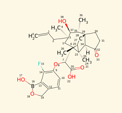 C=CC[C@]1(C)C[C@@H](C(Oc2ccc3c(c2F)B(O)OC3)C(=O)O)[C@@]2(C)[C@H](C)CC[C@]3(CCC(=O)[C@H]32)[C@@H](C)[C@@H]1O